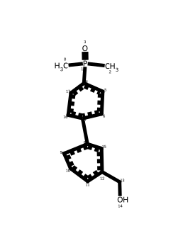 CP(C)(=O)c1ccc(-c2cccc(CO)c2)cc1